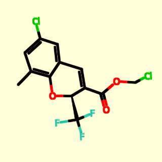 Cc1cc(Cl)cc2c1O[C@H](C(F)(F)F)C(C(=O)OCCl)=C2